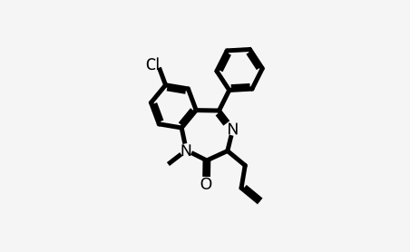 C=CCC1N=C(c2ccccc2)c2cc(Cl)ccc2N(C)C1=O